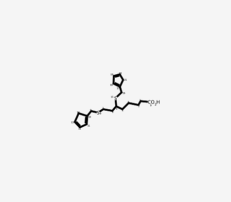 O=C(O)CCCCC(CCSCC1=CC=CC1)SCC1=CC=CC1